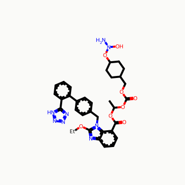 CCOc1nc2cccc(C(=O)OC(C)OC(=O)OCC3CCC(ON(N)O)CC3)c2n1Cc1ccc(-c2ccccc2-c2nnn[nH]2)cc1